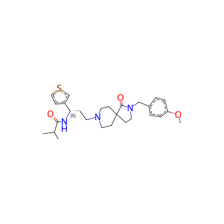 COc1ccc(CN2CCC3(CCN(CC[C@H](NC(=O)C(C)C)c4ccsc4)CC3)C2=O)cc1